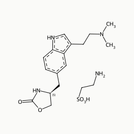 CN(C)CCc1c[nH]c2ccc(C[C@H]3COC(=O)N3)cc12.NCCS(=O)(=O)O